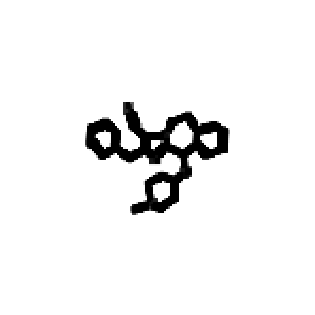 CN1CCC(OC2c3ccccc3CCn3c2nc(Cc2ccccc2)c3C#N)CC1